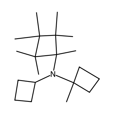 CC1(N(C2CCC2)C2(C)C(C)(C)C(C)(C)C2(C)C)CCC1